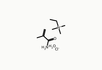 C=C(C)C(N)=O.CC[N+](C)(C)C.O.[Cl-]